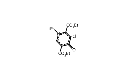 CCOC(=O)c1cn(C(C)C)c(C(=O)OCC)cc1=O.Cl